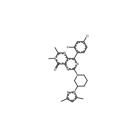 Cc1cc(C)n(C2CCCN(c3nc(-c4ccc(Cl)cc4F)c4nc(C)n(C)c(=O)c4n3)C2)n1